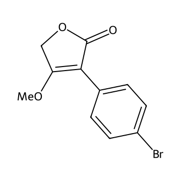 COC1=C(c2ccc(Br)cc2)C(=O)OC1